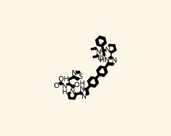 CCN(CC)[C@](C=O)(c1ccccc1)N1CCC[C@H]1c1ncc(-c2ccc(-c3ccc(-c4cnc(C5CCCN5C(=O)[C@H](Cc5cscn5)NC(=O)O)[nH]4)cc3)cc2)[nH]1